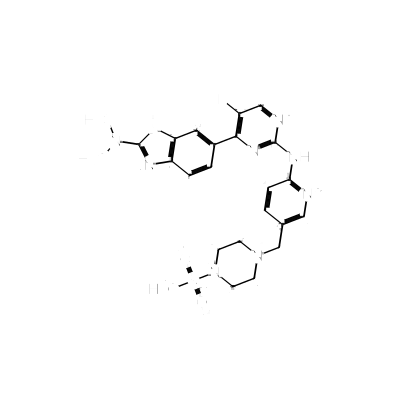 CN(C)c1nc2ccc(-c3nc(Nc4ccc(CN5CCN(S(C)(=O)=O)CC5)cn4)ncc3F)cc2s1